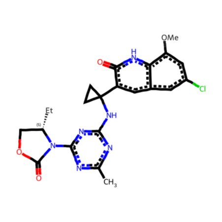 CC[C@H]1COC(=O)N1c1nc(C)nc(NC2(c3cc4cc(Cl)cc(OC)c4[nH]c3=O)CC2)n1